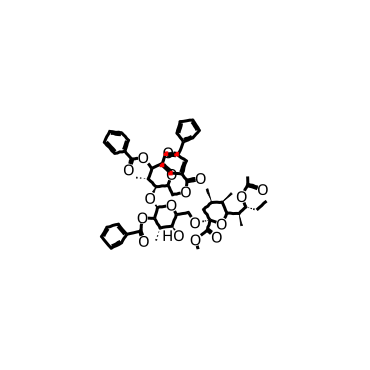 CC[C@@H](OC(C)=O)[C@@H](C)C1O[C@@](OCC2O[C@@H](O[C@@H]3C(COC(=O)c4ccccc4)O[C@@H](OCc4ccccc4)C(OC(=O)c4ccccc4)[C@H]3C)C(OC(=O)c3ccccc3)[C@@H](C)[C@H]2O)(C(=O)OC)C[C@@H](C)[C@H]1C